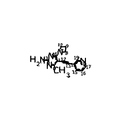 Cc1nc(N)nc(N2CCC2)c1C#Cc1cccnc1